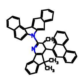 C[C@@H]1C(n2c3cc4ccccc4cc3c3c4ccccc4ccc32)=NC2=C(C1c1cc3ccccc3c3ccccc13)C(C)(C)c1ccccc12